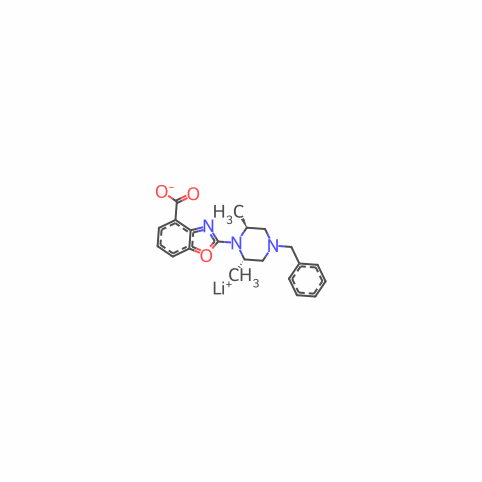 C[C@H]1CN(Cc2ccccc2)C[C@H](C)N1c1nc2c(C(=O)[O-])cccc2o1.[Li+]